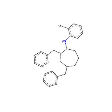 CCc1ccccc1NC1CCCC(Cc2ccccc2)CC1Cc1ccccc1